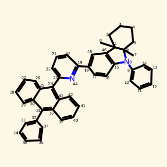 CC12CCCCC1(C)N(c1ccccc1)c1ccc(-c3cccc(-c4c5ccccc5c(-c5ccccc5)c5ccccc45)n3)cc12